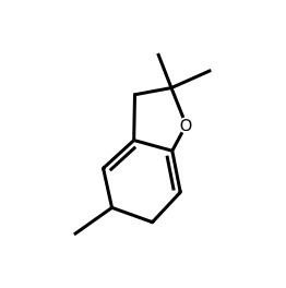 CC1C=C2CC(C)(C)OC2=CC1